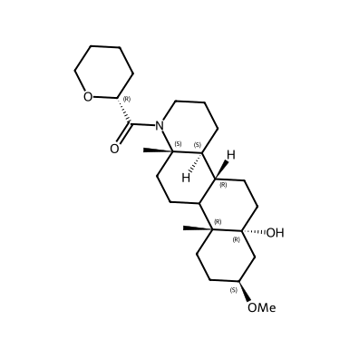 CO[C@H]1CC[C@]2(C)C3CC[C@@]4(C)[C@@H](CCCN4C(=O)[C@H]4CCCCO4)[C@@H]3CC[C@@]2(O)C1